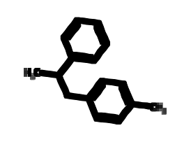 Cc1ccc(CC(C)c2ccccc2)cc1